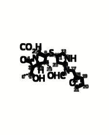 C[C@@H](O)[C@H]1C(=O)N2C(C(=O)O)=C(S[C@@H]3CN[C@@H](N(C=O)Cc4ccco4)C3)[C@H](C)[C@H]12